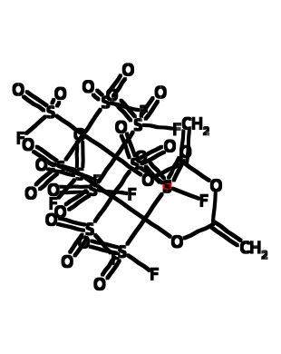 C=C(OC(=C)OC(C(S(=O)(=O)F)(S(=O)(=O)F)S(=O)(=O)F)(S(=O)(=O)F)S(=O)(=O)F)OC(C(S(=O)(=O)F)(S(=O)(=O)F)S(=O)(=O)F)(S(=O)(=O)F)S(=O)(=O)F